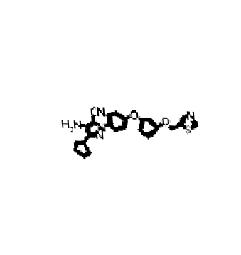 N#Cc1c(N)c(C2CCCC2)nn1-c1ccc(Oc2cccc(OCc3cncs3)c2)cc1